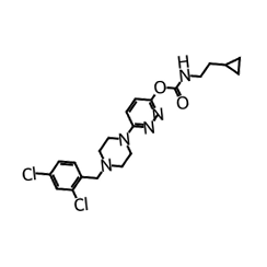 O=C(NCCC1CC1)Oc1ccc(N2CCN(Cc3ccc(Cl)cc3Cl)CC2)nn1